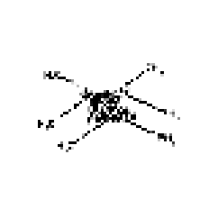 CCCCCCCCCCCCCC(=O)OC(CCCCCCCCCCC)CC(=O)NC1C(OCC2OC(OP(=O)(O)O)C(NC(=O)CC(O)CCCCCCCCCCC)C(OC(=O)CC(O)CCCCCCCCCCC)C2O)OC(CO)C(OP(=O)(O)O)C1OC(=O)CC(CCCCCCCCCCC)OC(=O)CCCCCCCCCCCCC